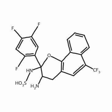 NC1Cc2cc(C(F)(F)F)c3ccccc3c2OC1(NS(=O)(=O)O)c1cc(F)c(F)cc1F